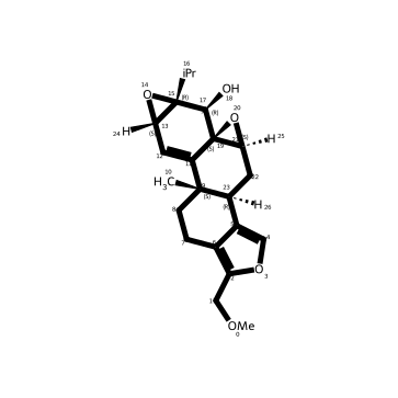 COCc1occ2c1CC[C@]1(C)C3=C[C@@H]4O[C@]4(C(C)C)[C@@H](O)[C@@]34O[C@H]4C[C@@H]21